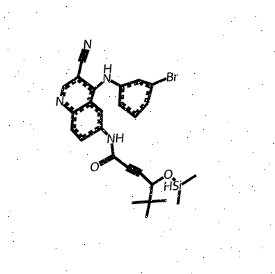 C[SiH](C)OC(C#CC(=O)Nc1ccc2ncc(C#N)c(Nc3cccc(Br)c3)c2c1)C(C)(C)C